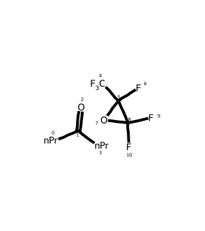 CCCC(=O)CCC.FC(F)(F)C1(F)OC1(F)F